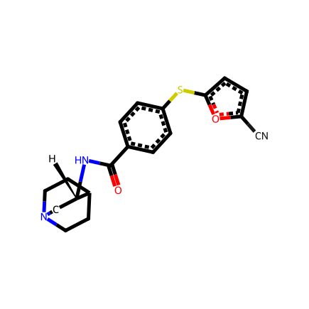 N#Cc1ccc(Sc2ccc(C(=O)N[C@H]3CN4CCC3CC4)cc2)o1